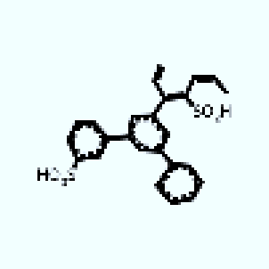 C=C/C(=C(\C=C/C)S(=O)(=O)O)c1cc(-c2ccccc2)cc(-c2cccc(S(=O)(=O)O)c2)c1